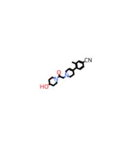 Cc1cc(C#N)ccc1C1=CCN(CC(=O)N2CCC(O)CC2)CC1